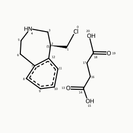 ClC[C@@H]1CNCCc2ccccc21.O=C(O)CCC(=O)O